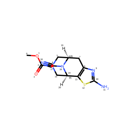 COC(=O)N1C[C@H]2Cc3nc(N)sc3[C@@H](C1)N2C#N